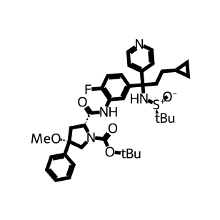 CO[C@]1(c2ccccc2)C[C@H](C(=O)Nc2cc(C(CCC3CC3)(N[S@@+]([O-])C(C)(C)C)c3ccncc3)ccc2F)N(C(=O)OC(C)(C)C)C1